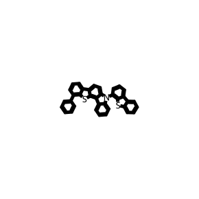 c1ccc(-c2cccc3c2sc2c3ccc3c2c2ccccc2n3-c2cccc3c2sc2ccccc23)cc1